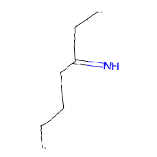 [CH2]CCCC(=N)C[CH2]